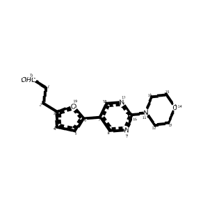 O=CCCc1ccc(-c2cnc(N3CCOCC3)nc2)o1